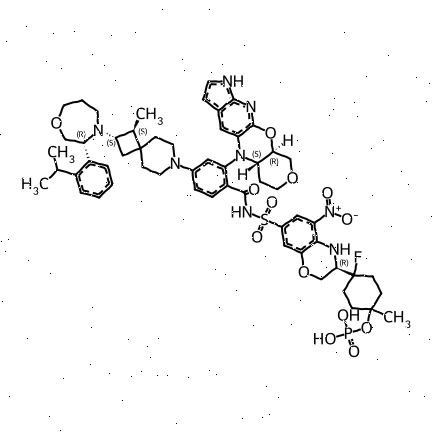 CC(C)c1ccccc1[C@@H]1COCCCN1[C@H]1CC2(CCN(c3ccc(C(=O)NS(=O)(=O)c4cc5c(c([N+](=O)[O-])c4)N[C@@H](C4(F)CCC(C)(OP(=O)(O)O)CC4)CO5)c(N4c5cc6cc[nH]c6nc5O[C@H]5COCC[C@@H]54)c3)CC2)[C@@H]1C